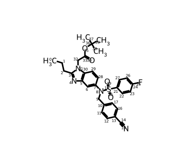 CCCc1nc2cc(N(Cc3ccc(C#N)cc3)S(=O)(=O)c3ccc(F)cc3)ccc2n1CC(=O)OC(C)(C)C